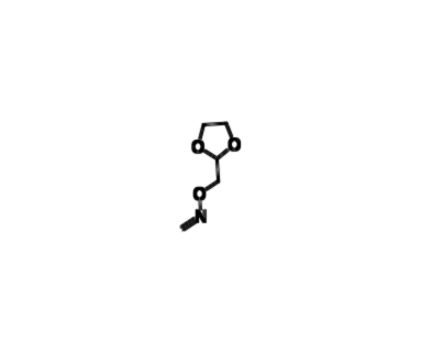 C=NOCC1OCCO1